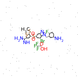 CSc1sc(C(=N)N)cc1S(=O)(=O)c1cc(Br)c2c(c1)ncn2Cc1cc(N)ccc1F.O=C(O)C(F)(F)F